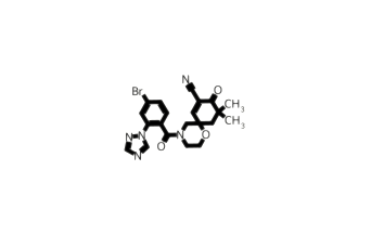 CC1(C)CC2(C=C(C#N)C1=O)CN(C(=O)c1ccc(Br)cc1-n1cncn1)CCO2